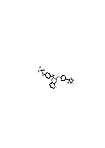 O=S(=O)(c1ccc(OC(F)(F)F)cc1)N(Cc1ccc(-c2nnn[nH]2)cc1)Cc1ccccn1